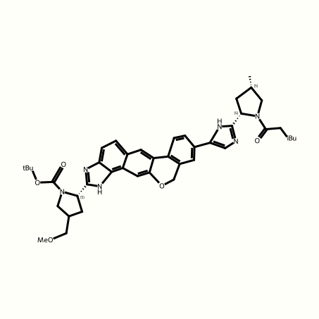 CCC(C)CC(=O)N1C[C@@H](C)C[C@H]1c1ncc(-c2ccc3c(c2)COc2cc4c(ccc5nc([C@@H]6CC(COC)CN6C(=O)OC(C)(C)C)[nH]c54)cc2-3)[nH]1